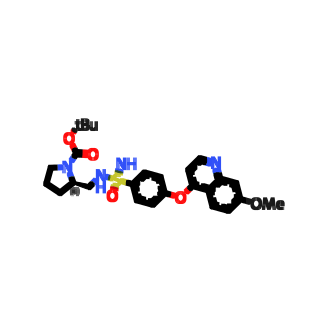 COc1ccc2c(Oc3ccc(S(=N)(=O)NC[C@H]4CCCN4C(=O)OC(C)(C)C)cc3)ccnc2c1